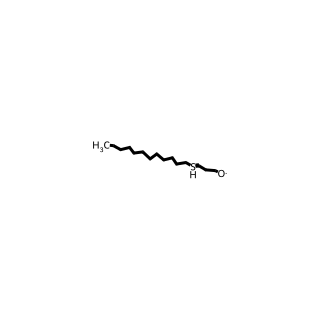 CCCCCCCCCCCC[SH]=CCC[O]